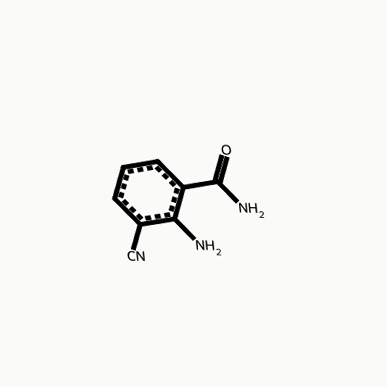 N#Cc1cccc(C(N)=O)c1N